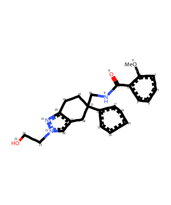 COc1ccccc1C(=O)NCC1(c2ccccc2)CCc2nn(CCO)cc2C1